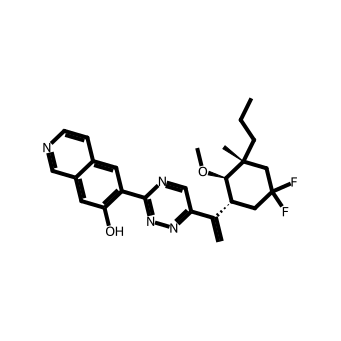 C=C(c1cnc(-c2cc3ccncc3cc2O)nn1)[C@H]1CC(F)(F)C[C@@](C)(CCC)[C@@H]1OC